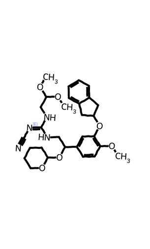 COc1ccc(C(CN/C(=N\C#N)NCC(OC)OC)OC2CCCCO2)cc1OC1Cc2ccccc2C1